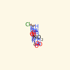 CC1(C)CCC(CN2CCN(c3ccc(C(=O)NS(=O)(=O)c4ccc(NCC5CCCN(CC#Cc6cccc7c6CN(C6CCC(=O)NC6=O)C7=O)C5)c([N+](=O)[O-])c4)c(Oc4cnc5[nH]ccc5c4)c3)CC2)=C(c2ccc(Cl)cc2)C1